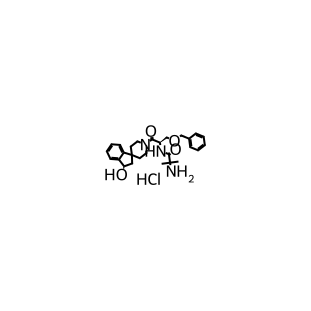 CC(C)(N)C(=O)N[C@H](COCc1ccccc1)C(=O)N1CCC2(CC1)C[C@H](O)c1ccccc12.Cl